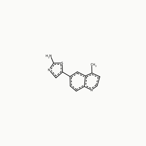 Cc1ccnc2ccc(-c3cnc(N)s3)cc12